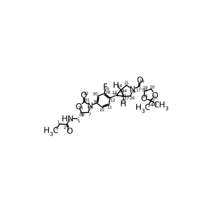 CCC(=O)NC[C@H]1CN(c2ccc([C@H]3[C@@H]4CN(C(=O)[C@@H]5COC(C)(C)O5)C[C@@H]43)c(F)c2)C(=O)O1